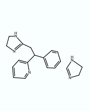 C1=NCCN1.c1ccc(C(CC2=NCCN2)c2ccccn2)cc1